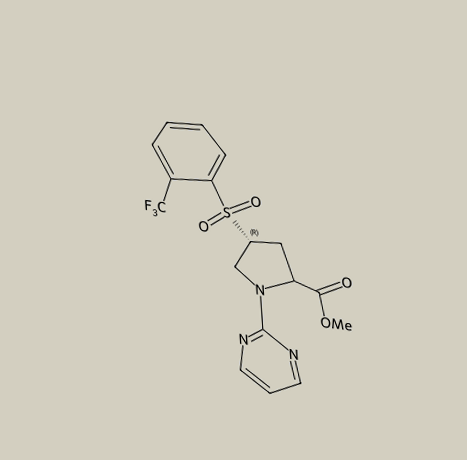 COC(=O)C1C[C@@H](S(=O)(=O)c2ccccc2C(F)(F)F)CN1c1ncccn1